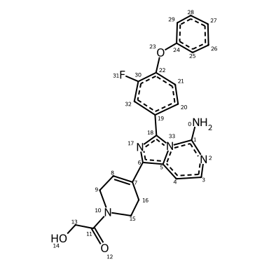 Nc1nccc2c(C3=CCN(C(=O)CO)CC3)nc(-c3ccc(Oc4ccccc4)c(F)c3)n12